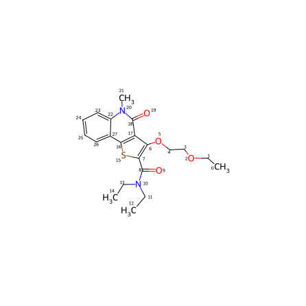 CCOCCOc1c(C(=O)N(CC)CC)sc2c1c(=O)n(C)c1ccccc21